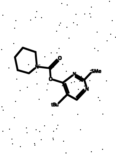 CSc1ncc(C(C)(C)C)c(OC(=O)N2CCCCC2)n1